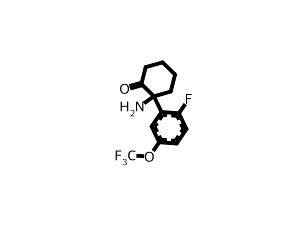 NC1(c2cc(OC(F)(F)F)ccc2F)CCCCC1=O